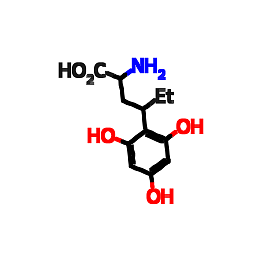 CCC(CC(N)C(=O)O)c1c(O)cc(O)cc1O